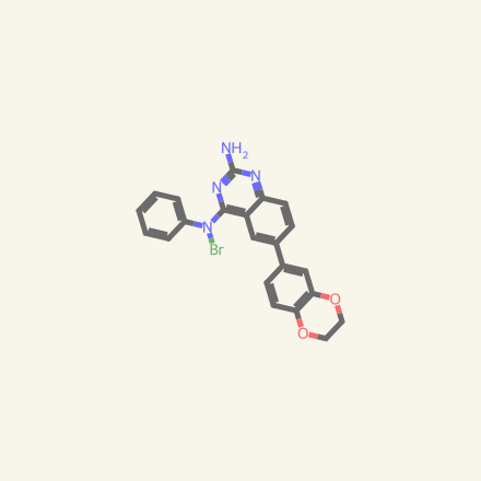 Nc1nc(N(Br)c2ccccc2)c2cc(-c3ccc4c(c3)OCCO4)ccc2n1